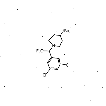 CC(C)(C)C1CCN(C(c2cc(Cl)cc(Cl)c2)C(F)(F)F)CC1